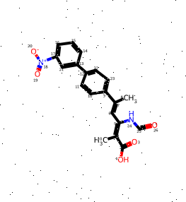 C/C(C(=O)O)=C(\C=C(/C)c1ccc(-c2cccc([N+](=O)[O-])c2)cc1)NC=O